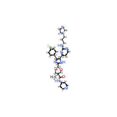 CC1(C(=O)Nc2ccncc2)COC(c2nc(-c3ccc(F)cc3)c(-c3ccnc(NCCCN4CC=NC4)n3)[nH]2)OC1